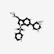 CNCc1cn(S(=O)(=O)c2cccnc2)c2cc(-c3cncnc3)ccc12.Cl